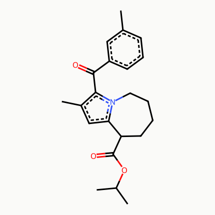 Cc1cccc(C(=O)c2c(C)cc3n2CCCCC3C(=O)OC(C)C)c1